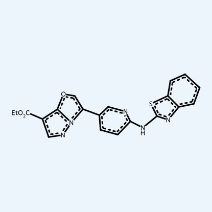 CCOC(=O)c1cnn2c(-c3ccc(Nc4nc5ccccc5s4)nc3)coc12